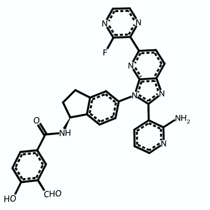 Nc1ncccc1-c1nc2ccc(-c3nccnc3F)nc2n1-c1ccc2c(c1)CC[C@@H]2NC(=O)c1ccc(O)c(C=O)c1